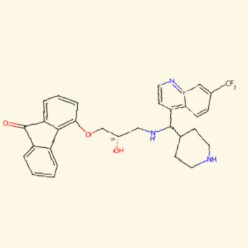 O=C1c2ccccc2-c2c(OC[C@@H](O)CNC(c3ccnc4cc(C(F)(F)F)ccc34)C3CCNCC3)cccc21